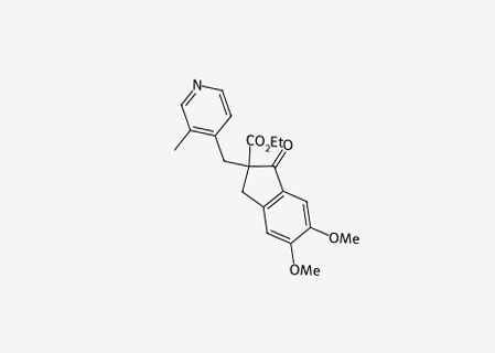 CCOC(=O)C1(Cc2ccncc2C)Cc2cc(OC)c(OC)cc2C1=O